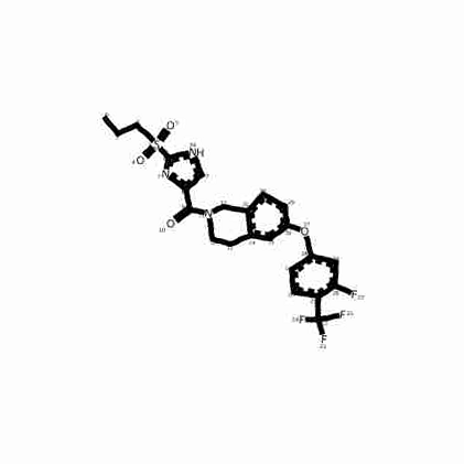 CCCS(=O)(=O)c1nc(C(=O)N2CCc3cc(Oc4ccc(C(F)(F)F)c(F)c4)ccc3C2)c[nH]1